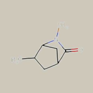 CC1CC2CC1N(P)C2=O